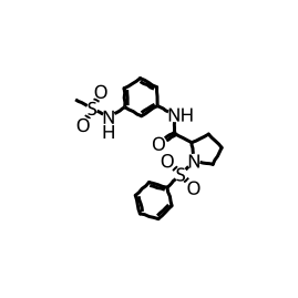 CS(=O)(=O)Nc1cccc(NC(=O)C2CCCN2S(=O)(=O)c2ccccc2)c1